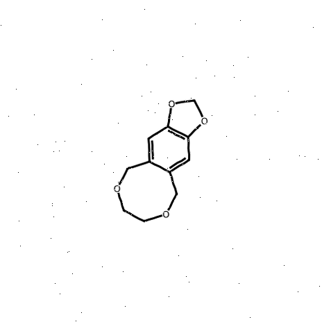 c1c2c(cc3c1OCO3)COCCOC2